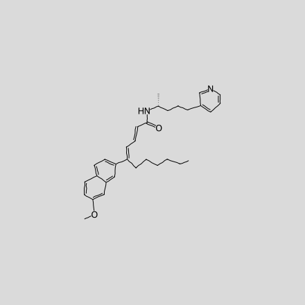 CCCCCC/C(=C\C=C\C(=O)N[C@H](C)CCCc1cccnc1)c1ccc2ccc(OC)cc2c1